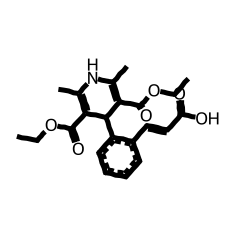 CCOC(=O)C1=C(C)NC(C)=C(C(=O)OCC)C1c1ccccc1/C=C/C(=O)O